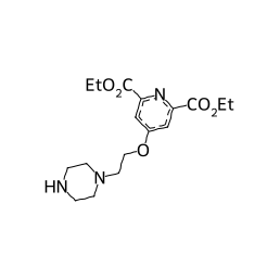 CCOC(=O)c1cc(OCCN2CCNCC2)cc(C(=O)OCC)n1